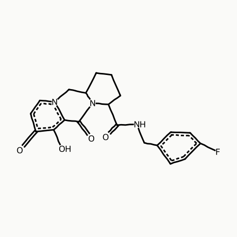 O=C(NCc1ccc(F)cc1)C1CCCC2Cn3ccc(=O)c(O)c3C(=O)N21